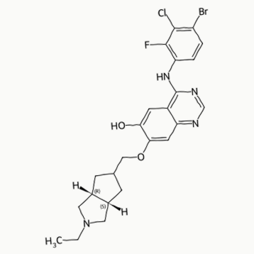 CCN1C[C@H]2CC(COc3cc4ncnc(Nc5ccc(Br)c(Cl)c5F)c4cc3O)C[C@H]2C1